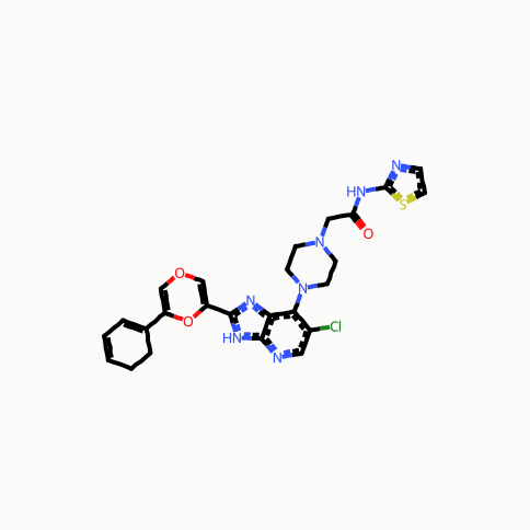 O=C(CN1CCN(c2c(Cl)cnc3[nH]c(C4=COC=C(C5=CC=CCC5)O4)nc23)CC1)Nc1nccs1